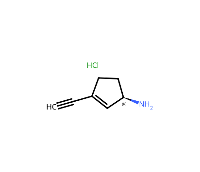 C#CC1=C[C@H](N)CC1.Cl